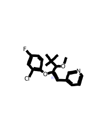 COC(/C(=C\c1cccnc1)Oc1ccc(F)cc1Cl)C(C)(C)C